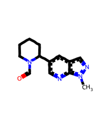 Cn1ncc2cc(C3CCCCN3C=O)cnc21